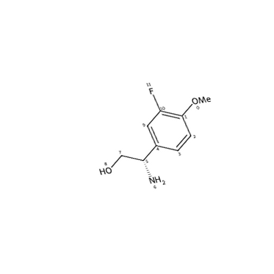 COc1ccc([C@H](N)CO)cc1F